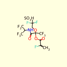 C=C(F)C(=O)OC(OCC(F)(F)S(=O)(=O)O)(C(=O)NC(C(F)(F)F)C(F)(F)F)C(F)(F)F